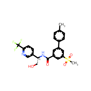 Cc1ccc(-c2cc(C(=O)N[C@H](CO)c3ccc(C(F)(F)F)nc3)cc(S(C)(=O)=O)c2)cc1